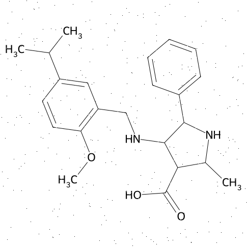 COc1ccc(C(C)C)cc1CNC1C(c2ccccc2)NC(C)C1C(=O)O